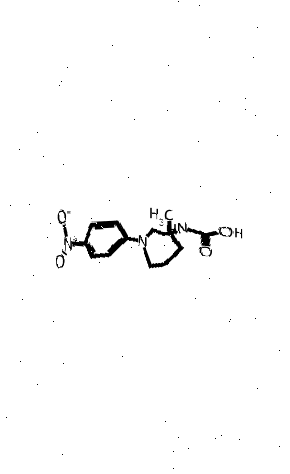 CC1(NC(=O)O)CCCN(c2ccc([N+](=O)[O-])cc2)C1